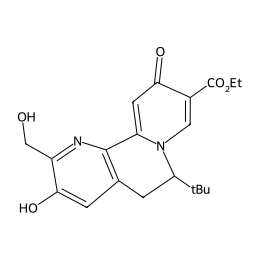 CCOC(=O)c1cn2c(cc1=O)-c1nc(CO)c(O)cc1CC2C(C)(C)C